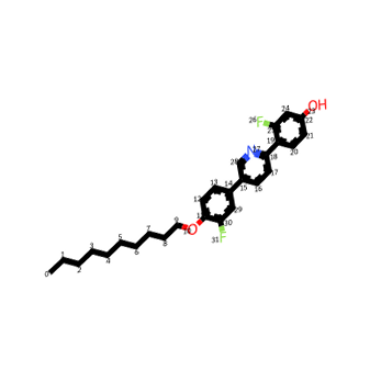 CCCCCCCCCCOc1ccc(-c2ccc(-c3ccc(O)cc3F)nc2)cc1F